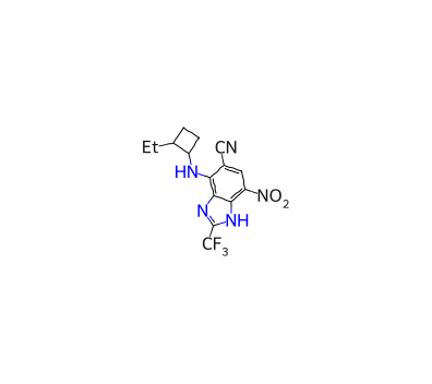 CCC1CCC1Nc1c(C#N)cc([N+](=O)[O-])c2[nH]c(C(F)(F)F)nc12